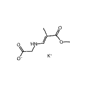 COC(=O)C(C)=CNCC(=O)[O-].[K+]